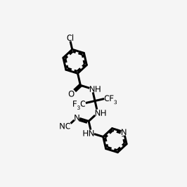 N#C/N=C(\Nc1cccnc1)NC(NC(=O)c1ccc(Cl)cc1)(C(F)(F)F)C(F)(F)F